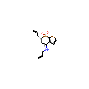 C=CCN[C@H]1C[C@H](CC=C)S(=O)(=O)c2sccc21